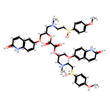 COc1ccc([S+]([O-])CCN(C)CC(COc2ccc3[nH]c(=O)ccc3c2)OC(=O)C(=O)OC(COc2ccc3[nH]c(=O)ccc3c2)CN(C)CC[S+]([O-])c2ccc(OC)cc2)cc1